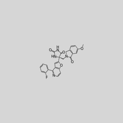 COc1ccc2c(c1)C(=O)N(C[C@@]1(c3cc4c(-c5ccccc5F)nccc4o3)NC(=O)NC1=O)C2